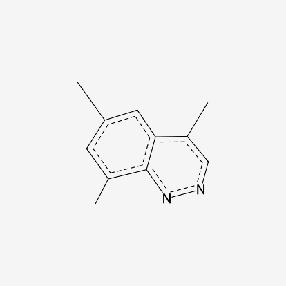 Cc1cc(C)c2nncc(C)c2c1